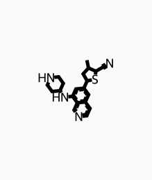 CC1CC(c2cc(NC3CCNCC3)c3cnccc3c2)SC1C#N